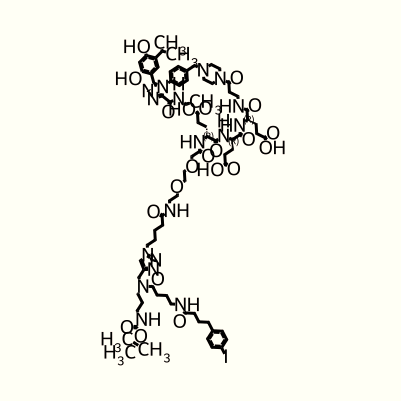 CCNC(=O)c1nnc(-c2cc(C(C)C)c(O)cc2O)n1-c1ccc(CN2CCN(C(=O)CCNC(=O)[C@@H](CCC(=O)O)NC(=O)[C@@H](CCC(=O)O)NC(=O)[C@@H](CCC(=O)O)NC(=O)COCCOCCNC(=O)CCCCn3cc(CN(CCCNC(=O)OC(C)(C)C)C(=O)CCCNC(=O)CCCc4ccc(I)cc4)nn3)CC2)cc1